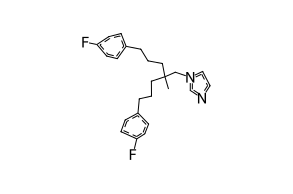 CC(CCCc1ccc(F)cc1)(CCCc1ccc(F)cc1)Cn1ccnc1